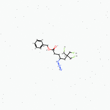 [N-]=[N+]=NC(CCC(=O)OCc1ccccc1)CC(CF)(CF)CF